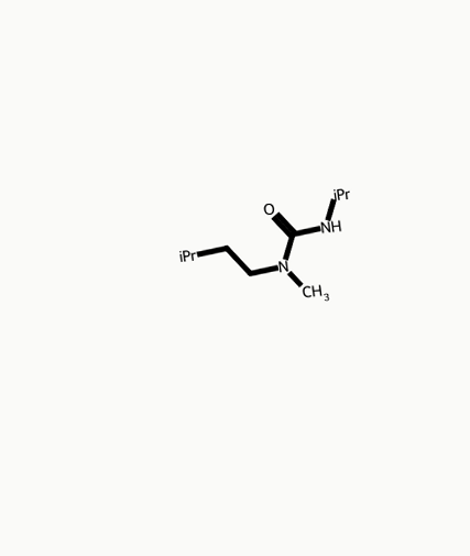 CC(C)CCN(C)C(=O)NC(C)C